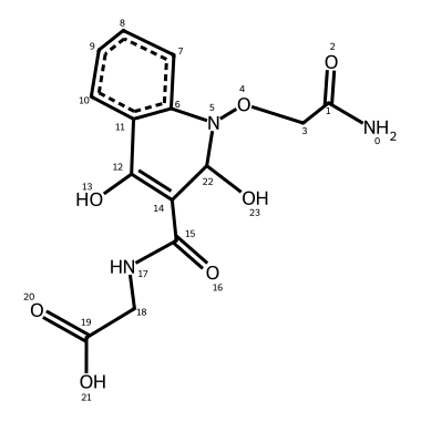 NC(=O)CON1c2ccccc2C(O)=C(C(=O)NCC(=O)O)C1O